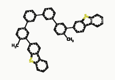 Cc1ccc(-c2cccc(-c3cccc(-c4ccc(C)c(-c5ccc6c(c5)sc5ccccc56)c4)c3)c2)cc1-c1ccc2c(c1)sc1ccccc12